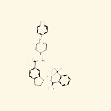 CN(C(=O)c1ccc2c(c1)[C@H](NC(=O)c1ccccc1C(C)(C)C)CC2)C1CCN(c2ccncc2)CC1